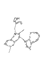 Cc1ccc2c(c1)c(-c1nsc3ccccc13)c(C)n2CC(=O)O